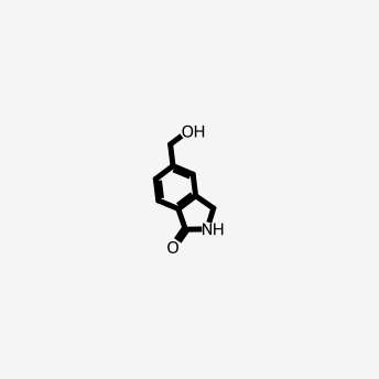 O=C1NCc2cc(CO)ccc21